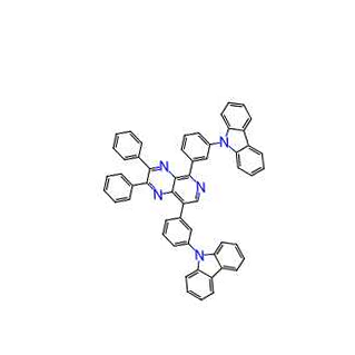 c1ccc(-c2nc3c(-c4cccc(-n5c6ccccc6c6ccccc65)c4)cnc(-c4cccc(-n5c6ccccc6c6ccccc65)c4)c3nc2-c2ccccc2)cc1